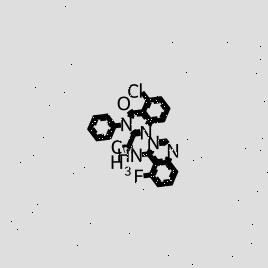 C[C@H](Nc1ncnc2cccc(F)c12)c1nc2cccc(Cl)c2c(=O)n1-c1ccccc1